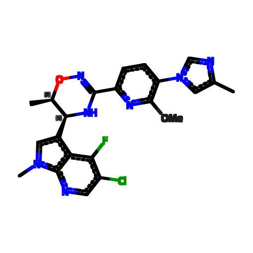 COc1nc(C2=NO[C@H](C)[C@H](c3cn(C)c4ncc(Cl)c(F)c34)N2)ccc1-n1cnc(C)c1